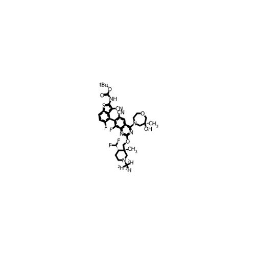 [2H]C([2H])([2H])N1CC[C@H](C(F)F)[C@](C)(COc2nc(N3CCOC[C@@](C)(O)C3)c3cc(C#N)c(-c4c(F)ccc5sc(NC(=O)OC(C)(C)C)c(C#N)c45)c(F)c3n2)C1